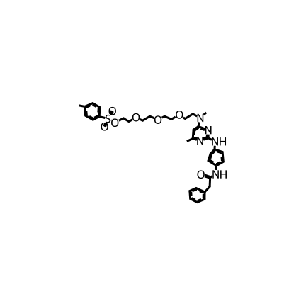 Cc1ccc(S(=O)(=O)OCCOCCOCCOCCN(C)c2cc(C)nc(Nc3ccc(NC(=O)Cc4ccccc4)cc3)n2)cc1